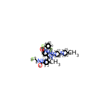 Cc1ccc(C(=O)NCCF)cc1-c1nc(N2CCC(N3CCC(C)CC3)CC2)nc2c1ccc(=O)n2-c1c(F)cccc1F